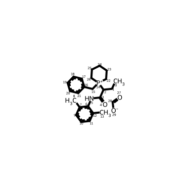 CCC(C(=O)Nc1c(C)cccc1C)[P+]1(Cc2ccccc2)CCCCC1.O=C[O-]